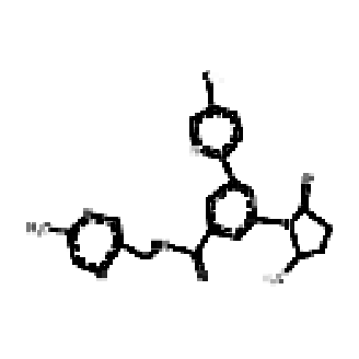 Cc1ccc(-c2cc(C(=O)NCc3cnc(C)cn3)cc(N3C(=O)CCC3C)c2)nc1